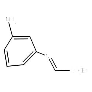 CCOC(=O)/C=N/c1cccc(N)c1